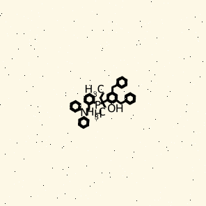 CCCC(CC)(Pc1ccccc1CN(c1ccccc1)c1ccccc1)c1cc(Cc2ccccc2)cc(Cc2ccccc2)c1O